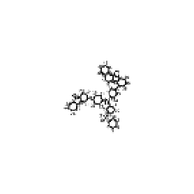 CC1(C)c2ccccc2-c2ccc(N(c3ccc(-c4ccc5sc6ccccc6c5c4)cc3)c3ccc(-c4cccc5oc6c7ccccc7ccc6c45)cc3)cc21